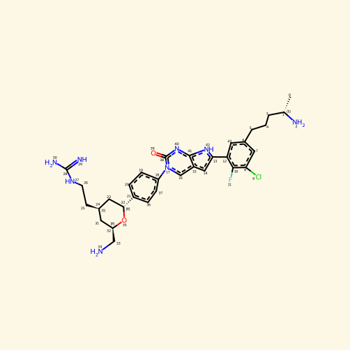 C[C@H](N)CCCc1cc(Cl)c(F)c(-c2cc3cn(-c4ccc([C@H]5C[C@H](CCNC(=N)N)C[C@H](CN)O5)cc4)c(=O)nc3[nH]2)c1